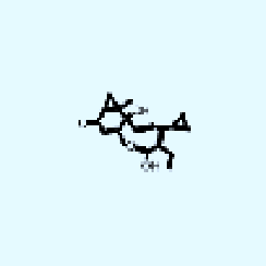 CCC(C(=O)O)=C(C=CC1(O)C(C)=CC(=O)C2CC21C)C1CC1